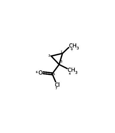 CC1CC1(C)C(=O)Cl